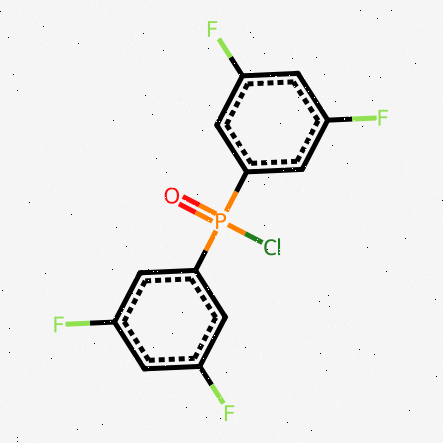 O=P(Cl)(c1cc(F)cc(F)c1)c1cc(F)cc(F)c1